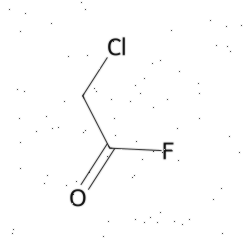 O=C(F)CCl